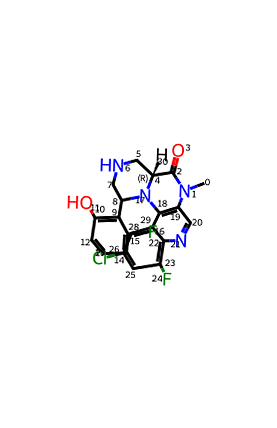 CN1C(=O)[C@H]2CNCC(c3c(O)cccc3F)N2c2c1cnc1c(F)cc(Cl)cc21